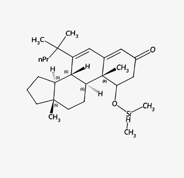 CCCC(C)(C)C1=CC2=CC(=O)CC(O[SiH](C)C)[C@]2(C)[C@H]2CC[C@]3(C)CCC[C@H]3[C@H]12